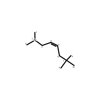 CN(C)C/C=C\CC(C)(C)C